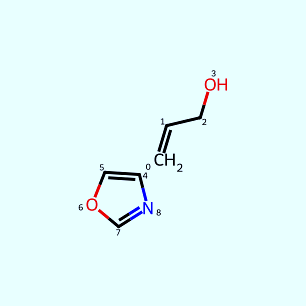 C=CCO.c1cocn1